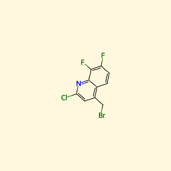 Fc1ccc2c(CBr)cc(Cl)nc2c1F